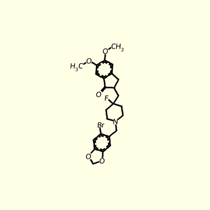 COc1cc2c(cc1OC)C(=O)C(CC1(F)CCN(Cc3cc4c(cc3Br)OCO4)CC1)C2